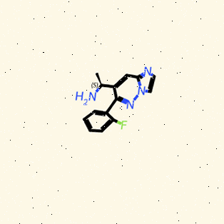 C[C@H](N)c1cc2nccn2nc1-c1ccccc1F